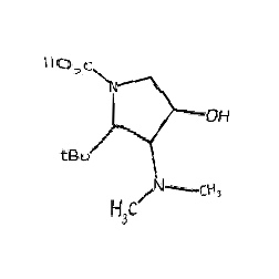 CN(C)C1C(O)CN(C(=O)O)C1C(C)(C)C